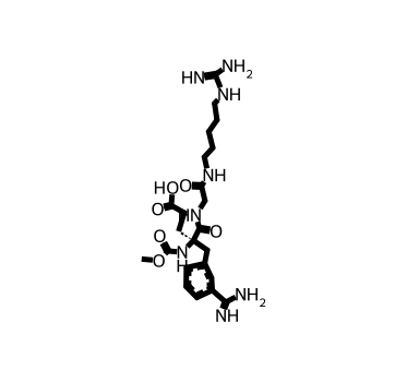 COC(=O)N[C@](CCC(=O)O)(Cc1cccc(C(=N)N)c1)C(=O)NCC(=O)NCCCCCNC(=N)N